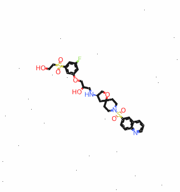 O=S(=O)(CCO)c1cc(F)cc(OCC(O)CN[C@H]2COC3(CCN(S(=O)(=O)c4ccc5ncccc5c4)CC3)C2)c1